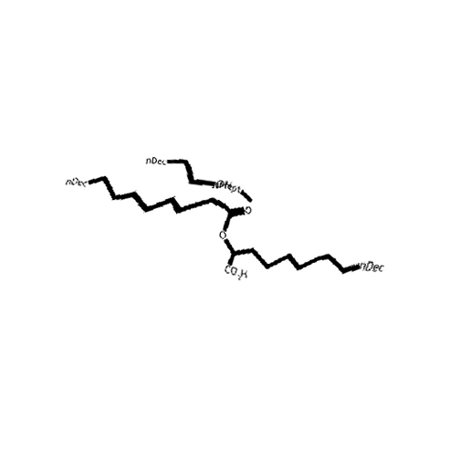 CCCCCCCC.CCCCCCCCCCCCCCCCCC(=O)OC(CCCCCCCCCCCCCCCC)C(=O)O.CCCCCCCCCCCCO